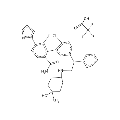 CC1(O)CCC(NCC(c2ccccc2)c2ccc(Cl)c(-c3c(C(N)=O)ccc(-n4cccn4)c3F)c2)CC1.O=C(O)C(F)(F)F